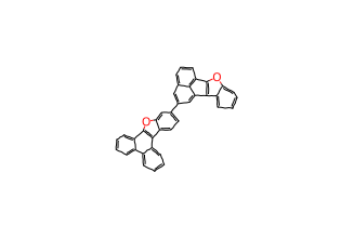 c1cc2c3c(cc(-c4ccc5c(c4)oc4c6ccccc6c6ccccc6c54)cc3c1)-c1c-2oc2ccccc12